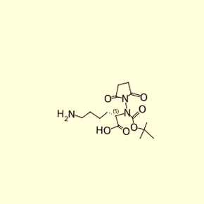 CC(C)(C)OC(=O)N([C@@H](CCCCN)C(=O)O)N1C(=O)CCC1=O